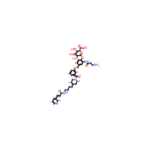 NCCC(=O)Nc1cc(COc2cccc(C(=O)N3CCC(CCCCNC(=O)/C=C/c4cccnc4)CC3)c2)ccc1O[C@@H]1O[C@H](C(=O)O)[C@@H](O)[C@H](O)[C@H]1O